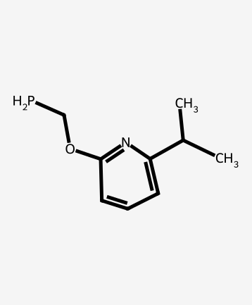 CC(C)c1cccc(OCP)n1